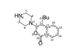 CCC(C)c1c(N2CCNCC2)oc(=O)c2ccccc12